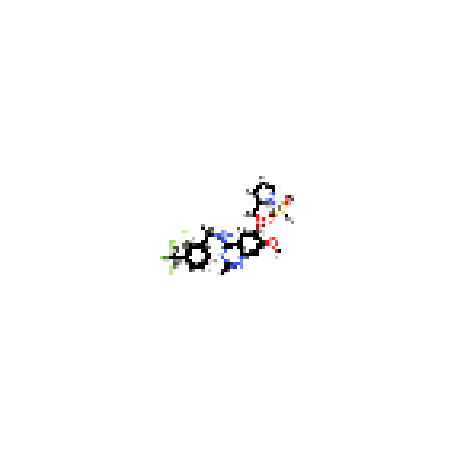 COc1cc2nc(C)nc(N[C@H](C)c3cccc(C(F)(F)F)c3F)c2cc1OCC1CCCN1S(C)(=O)=O